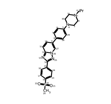 CC(C)N1CCN(c2ccc(-c3ccc4nc(-c5ccc(S(C)(=O)=O)cc5)nn4c3)cc2)CC1